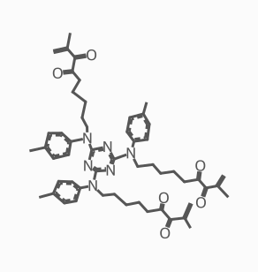 C=C(C)C(=O)C(=O)CCCCCN(c1ccc(C)cc1)c1nc(N(CCCCCC(=O)C(=O)C(=C)C)c2ccc(C)cc2)nc(N(CCCCCC(=O)C(=O)C(=C)C)c2ccc(C)cc2)n1